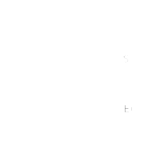 CCc1ccc(C)cc1-c1cccs1